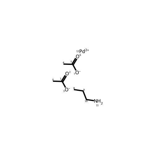 CC(=O)[O-].CC(=O)[O-].CCCN.[Pd+2]